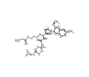 CCC(=O)CCCCC[C@H](NC(=O)[C@H]1CC12CCN(CC1CC1)CC2)c1ncc(-c2cc3ccc(C)nc3cc2OC)[nH]1